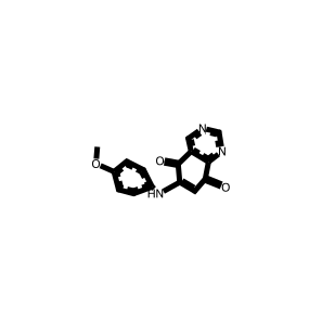 COc1ccc(NC2=CC(=O)c3ncncc3C2=O)cc1